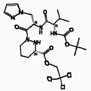 CC(C)[C@H](NC(=O)OC(C)(C)C)C(=O)N[C@@H](Cn1cccn1)C(=O)N1CCC[C@@H](C(=O)OCC(Cl)(Cl)Cl)N1